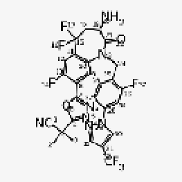 CC(C)(C#N)c1nnc(-c2cc3c(cc2F)C(F)(F)C[C@@H](N)C(=O)N3Cc2ccc(-n3cc(C(F)(F)F)cn3)cc2F)o1